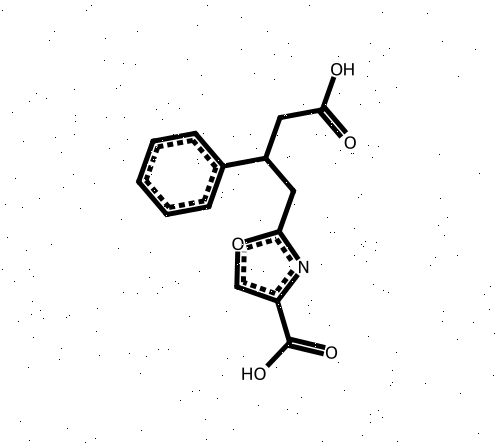 O=C(O)CC(Cc1nc(C(=O)O)co1)c1ccccc1